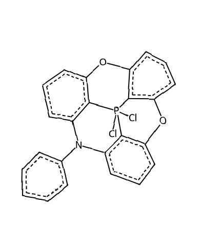 ClP12(Cl)c3c4cccc3Oc3cccc(c31)N(c1ccccc1)c1cccc(c12)O4